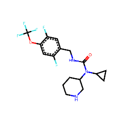 O=C(NCc1cc(F)c(OC(F)(F)F)cc1F)N(C1CC1)C1CCCNC1